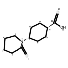 O=C1CCCCN1[C@H]1CC[C@@H](C(=O)O)CC1